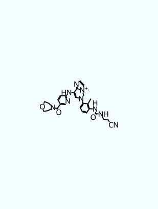 Cc1c(NC(=O)NCCC#N)cccc1N1C=C(Nc2ccc(C(=O)N3CCOCC3)cn2)C2=NC=C[N+]2C1